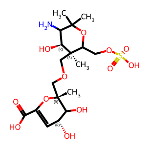 CC1(C)OC(COS(=O)(=O)O)[C@@](C)(COC[C@@]2(C)OC(C(=O)O)=C[C@@H](O)C2O)[C@@H](O)C1N